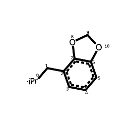 C[C](C)Cc1cccc2c1OCO2